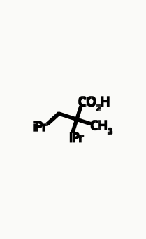 CC(C)CC(C)(C(=O)O)C(C)C